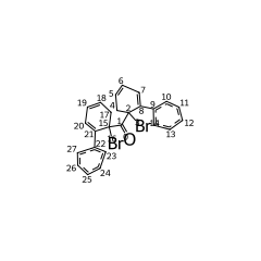 O=C(C1(Br)CC=CC=C1c1ccccc1)C1(Br)CC=CC=C1c1ccccc1